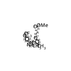 COC(=O)CC/C=C/COc1ccc(C)cc1Cn1c(C)cnc1-c1ccc(OC(F)(F)F)cc1